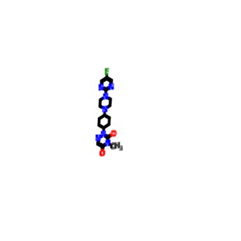 Cn1c(=O)cnn(C2CCC(N3CCN(c4ncc(F)cn4)CC3)CC2)c1=O